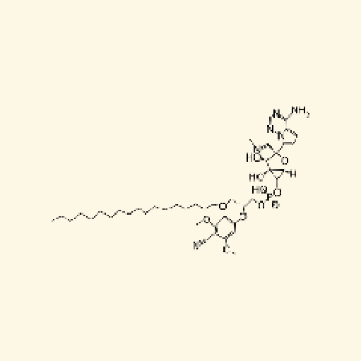 CCCCCCCCCCCCCCCCCCOC[C@H](COP(=O)(O)OC1[C@H]2O[C@@](C=NC)(c3ccc4c(N)ncnn34)[C@H](O)[C@@]12O)Oc1cc(OC)c(C#N)c(OC)c1